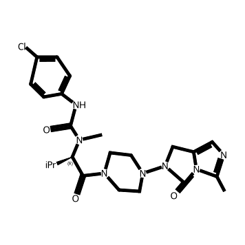 Cc1ncc2n1C(=O)N(N1CCN(C(=O)[C@@H](C(C)C)N(C)C(=O)Nc3ccc(Cl)cc3)CC1)C2